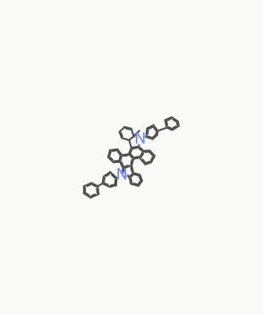 CC12C=CC=CC1c1c(c3ccccc3c3c1c1ccccc1c1c3c3ccccc3n1-c1ccc(-c3ccccc3)cc1)N2c1ccc(-c2ccccc2)cc1